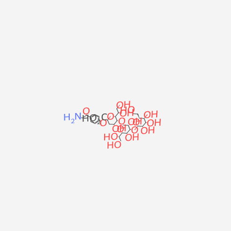 NCC(=O)c1ccc(O[C@]2(C(=O)O)C[C@@H](O)[C@@H](O[C@H]3OC([C@@H](O)CO)[C@@H](O)C(O[C@H]4O[C@@H](CCO)[C@@H](O)C(O)C4O)[C@H]3O)C([C@H](O)CO)O2)cc1